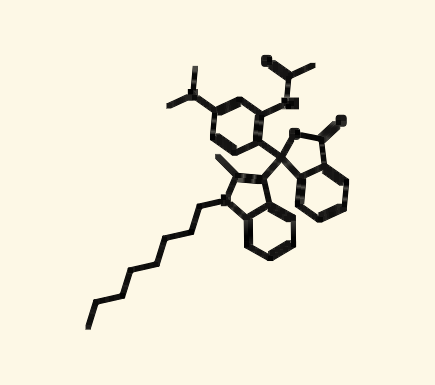 CCCCCCCCn1c(C)c(C2(c3ccc(N(C)C)cc3NC(C)=O)OC(=O)c3ccccc32)c2ccccc21